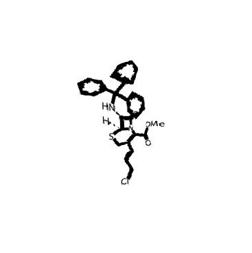 COC(=O)C1=C(C=CCCl)CS[C@H]2[C@H](NC(c3ccccc3)(c3ccccc3)c3ccccc3)C(=O)N12